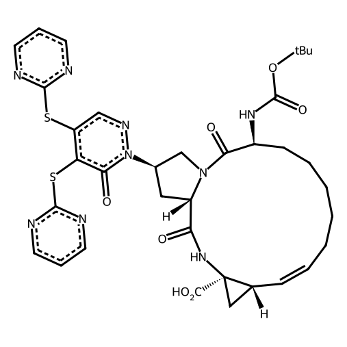 CC(C)(C)OC(=O)N[C@H]1CCCCC/C=C\[C@@H]2C[C@@]2(C(=O)O)NC(=O)[C@@H]2C[C@@H](n3ncc(Sc4ncccn4)c(Sc4ncccn4)c3=O)CN2C1=O